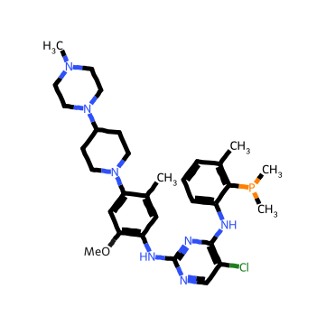 COc1cc(N2CCC(N3CCN(C)CC3)CC2)c(C)cc1Nc1ncc(Cl)c(Nc2cccc(C)c2P(C)C)n1